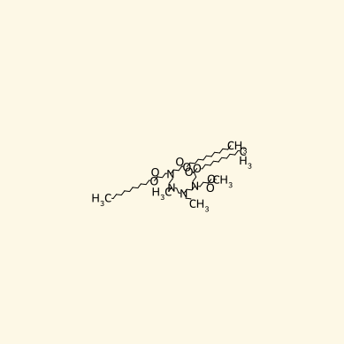 CCCCCCCCCCCOC(=O)CCN(CCC(=O)OCCCCCCCCCCC)CCN(C)CCN(CCC)CCN(CCC(=O)OC)CCC(=O)OCCCCCCCCCCC